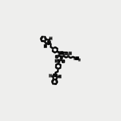 NCCCC[C@@H](C(=O)O)N(C(=O)NC1CCC(CCN2[C@@H]3CC[C@H]2c2ccccc23)CC1)C(=O)NC1CCC(CCN2[C@@H]3CC[C@H]2c2ccccc23)CC1